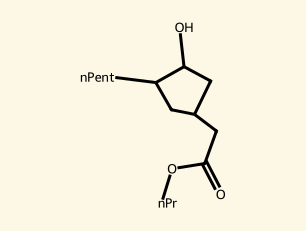 CCCCCC1CC(CC(=O)OCCC)CC1O